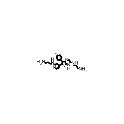 NCCCNc1cc(-c2nc3[nH]c(NCCCN)cnc-3c2-c2ccc(F)cc2)ccn1